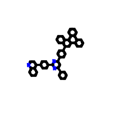 c1ccc(-c2cc(-c3ccc(-c4cc5c6ccccc6c6ccccc6c5c5ccccc45)cc3)nc(-c3ccc(-c4ccnc5ccccc45)cc3)n2)cc1